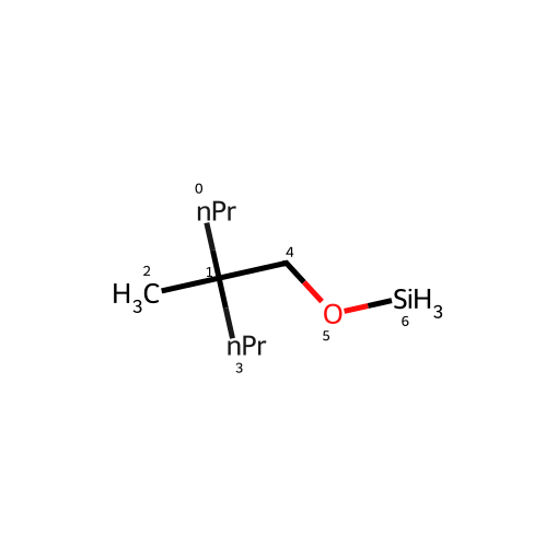 CCCC(C)(CCC)CO[SiH3]